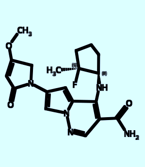 COC1=CC(=O)N(c2cc3c(N[C@@H]4CCC[C@]4(C)F)c(C(N)=O)cnn3c2)C1